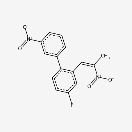 CC(=Cc1cc(F)ccc1-c1cccc([N+](=O)[O-])c1)[N+](=O)[O-]